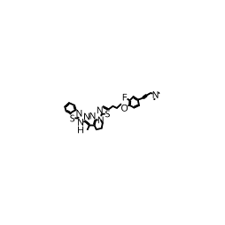 Cc1c(Nc2nc3ccccc3s2)nnc2c1CCCN2c1ncc(CCCOc2ccc(C#CCN(C)C)cc2F)s1